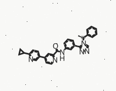 C[C@@H](c1ccccc1)n1cnnc1-c1cccc(NC(=O)c2cc(-c3ccc(C4CC4)nc3)ccn2)c1